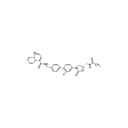 CC(=O)NC[C@H]1CN(c2ccc(-c3ccc(CNC(=O)C4=CC=NC5C=CC=CC45)cc3)c(F)c2)C(=O)O1